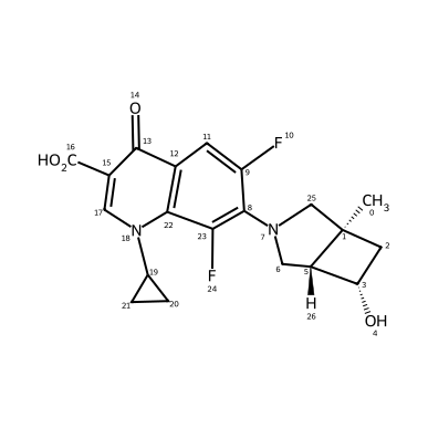 C[C@]12C[C@H](O)[C@@H]1CN(c1c(F)cc3c(=O)c(C(=O)O)cn(C4CC4)c3c1F)C2